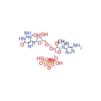 CO[C@@H]1[C@H](OCOC[C@H]2O[C@@H](n3cnc4c(=O)[nH]c(N)nc43)[C@H](O)[C@@H]2O)[C@@H](COP(=O)(O)OP(=O)(O)OP(=O)(O)O)O[C@H]1n1cnc2c(N)ncnc21